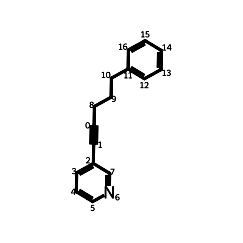 C(#Cc1cccnc1)CCCc1ccccc1